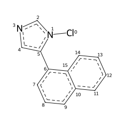 Cln1cncc1-c1cccc2ccccc12